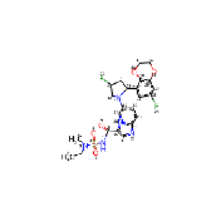 CCN(C)S(=O)(=O)NC(=O)c1cnc2ccc(N3CC(F)CC3c3cc(F)cc4c3OCCO4)cn12